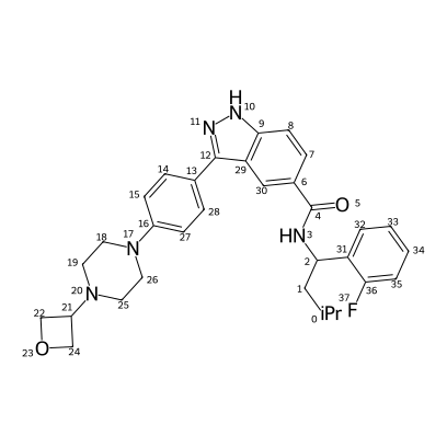 CC(C)CC(NC(=O)c1ccc2[nH]nc(-c3ccc(N4CCN(C5COC5)CC4)cc3)c2c1)c1ccccc1F